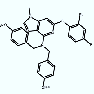 CCc1cc(F)ccc1Oc1cc2c(ncn2C)c(N(Cc2ccc(OC)cc2)Cc2ccc(OC)cc2)n1